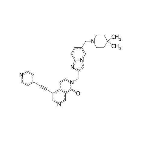 CC1(C)CCN(Cc2ccc3nc(Cn4ccc5c(C#Cc6ccncc6)cncc5c4=O)cn3c2)CC1